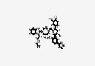 COc1ccc(C2C=NN=N2)cc1C(=O)N(C)CC(CCN1CCCN(c2nc3ccccc3n2CCOCC(F)(F)F)CC1)c1ccc(Cl)c(Cl)c1